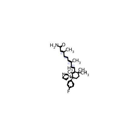 CC1=C(/C=C/C(C)=C/C=C/C(C)=C/C(N)=O)C(C)(C)CC[C@]1(c1ccc(F)cc1)n1ccnc1